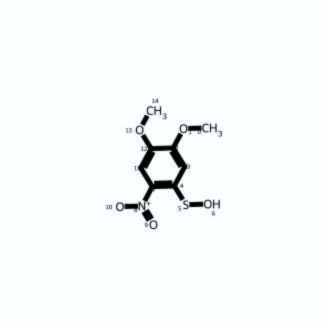 COc1cc(SO)c([N+](=O)[O-])cc1OC